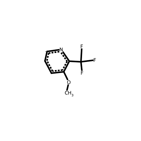 COc1cc[c]nc1C(F)(F)F